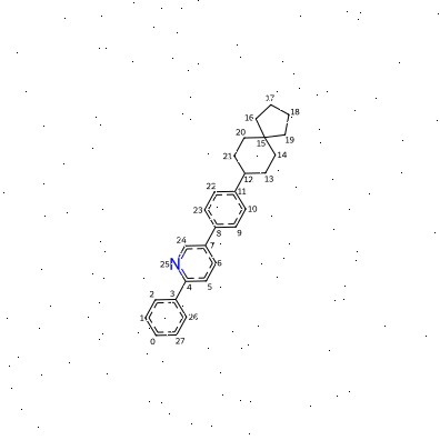 c1ccc(-c2ccc(-c3ccc(C4CCC5(CCCC5)CC4)cc3)cn2)cc1